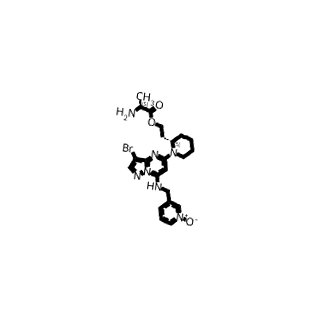 C[C@H](N)C(=O)OCC[C@@H]1CCCCN1c1cc(NCc2ccc[n+]([O-])c2)n2ncc(Br)c2n1